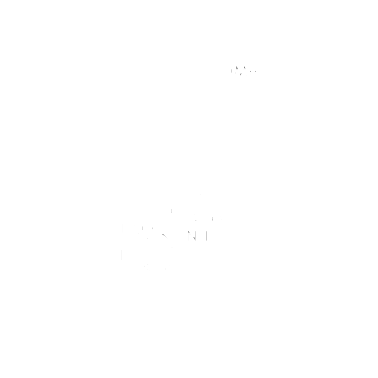 CCS[C@@H](c1ccccc1)[C@H](NS(=O)(=O)c1ccc(-c2ccc(OC)cc2)cc1)C(=O)O